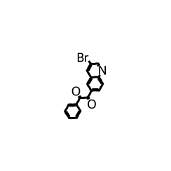 O=C(C(=O)c1ccc2ncc(Br)cc2c1)c1ccccc1